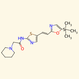 C[Si](C)(C)c1cnc(/C=C/c2cnc(NC(=O)CN3CCCCC3)s2)o1